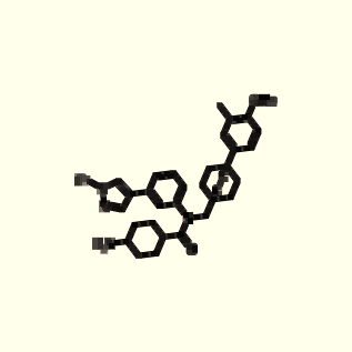 COc1ccc(C23CCC(CN(C(=O)C4CCC(N)CC4)c4cccc(-c5cnn(C(C)C)c5)c4)(CC2)CC3)cc1C